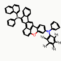 [2H]c1c([2H])c([2H])c(N(c2ccccc2)c2ccc3c(c2)Oc2cccc4c2c-3cc2c3ccccc3c(B(c3ccccc3)c3cccc5ccccc35)cc42)c([2H])c1[2H]